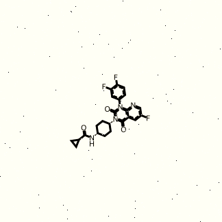 O=C(N[C@H]1CC[C@@H](n2c(=O)c3cc(F)cnc3n(-c3ccc(F)c(F)c3)c2=O)CC1)C1CC1